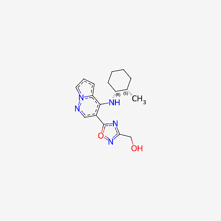 C[C@H]1CCCC[C@H]1Nc1c(-c2nc(CO)no2)cnn2cccc12